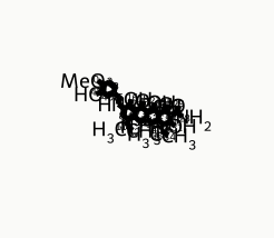 COc1ccc(CNc2cc(N(C)C)c3c(c2O)C(=O)C2=C(O)[C@]4(O)C(=O)C(C(N)=O)C(O)[C@@H](N(C)C)[C@@H]4C[C@@H]2C3)cc1O